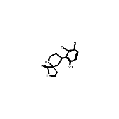 O=C1NCC[C@@]12CC(c1c(O)ccc(Cl)c1Cl)CCN2